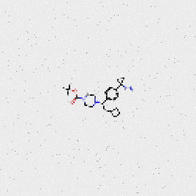 CC(C)(C)OC(=O)N1CCN(C(CC2CCC2)c2ccc(C3(N)CC3)cc2)CC1